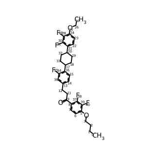 CCCCOc1ccc(C(=O)CCc2ccc(C3CCC(c4ccc(OCC)c(F)c4F)CC3)c(F)c2)c(F)c1F